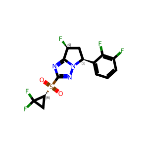 O=S(=O)(c1nc2n(n1)[C@H](c1cccc(F)c1F)C[C@@H]2F)[C@@H]1CC1(F)F